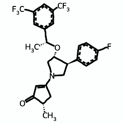 C[C@H]1CC(N2C[C@H](O[C@H](C)c3cc(C(F)(F)F)cc(C(F)(F)F)c3)[C@@H](c3ccc(F)cc3)C2)=CC1=O